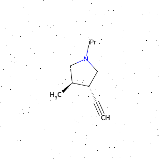 C#C[C@H]1CN(C(C)C)C[C@@H]1C